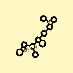 N/C(=N\C(=C/Cc1cccc2c3c(oc12)C=CC=CC3)c1ccc(-c2ccc(-c3ccc4c5ccccc5n(-c5ccccc5)c4c3)cc2)c2c1C=CC=CC2)c1ccccc1